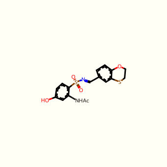 CC(=O)Nc1cc(O)ccc1S(=O)(=O)N=Cc1ccc2c(c1)SCCO2